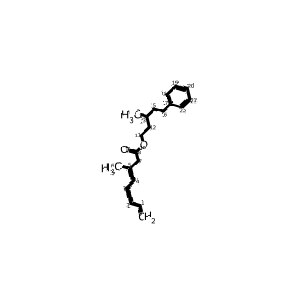 C=C/C=C\C=C(/C)CC(=O)OCCC(C)CCc1ccccc1